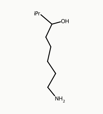 CC(C)C(O)CCCCCN